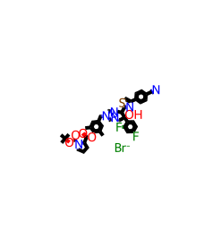 Cc1cc(C[n+]2cnn(CC(O)(c3ccc(F)cc3F)C(C)c3nc(-c4ccc(C#N)cc4)cs3)c2)cc(C)c1OC(=O)C1CCCN1C(=O)OC(C)(C)C.[Br-]